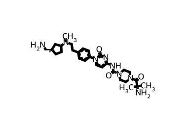 CN(CCc1ccc(-n2ccc(NC(=O)N3CCN(C(=O)C(C)(C)N)CC3)nc2=O)cc1)C1CC[C@@H](CN)C1